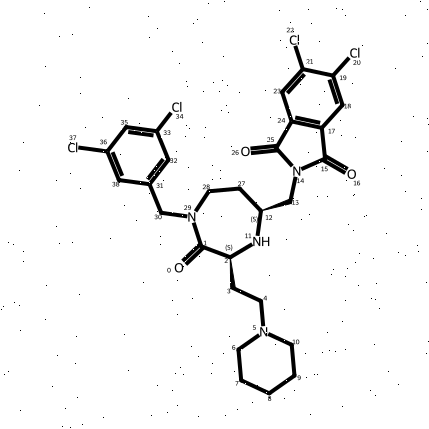 O=C1[C@H](CCN2CCCCC2)N[C@H](CN2C(=O)c3cc(Cl)c(Cl)cc3C2=O)CCN1Cc1cc(Cl)cc(Cl)c1